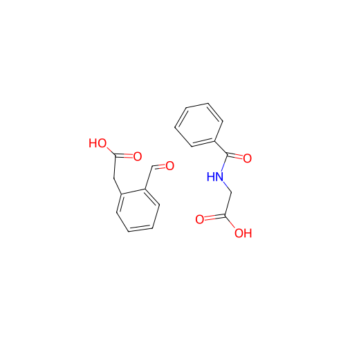 O=C(O)CNC(=O)c1ccccc1.O=Cc1ccccc1CC(=O)O